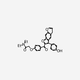 CCN(CC)C(=O)COc1ccc(C(=O)c2oc3cc4c(cc3c2-c2ccc(O)cc2)CC=CO4)cc1